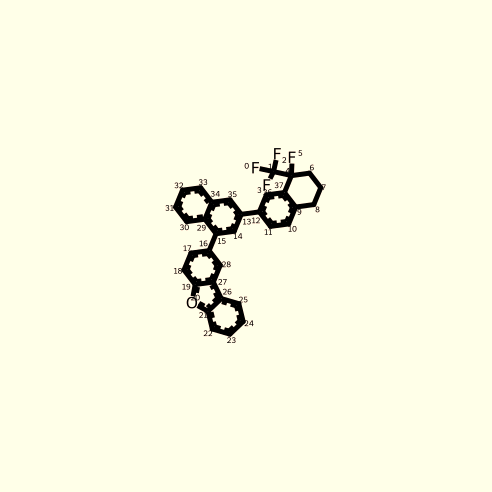 FC(F)(F)C1(F)CCCc2ccc(-c3cc(-c4ccc5oc6ccccc6c5c4)c4ccccc4c3)cc21